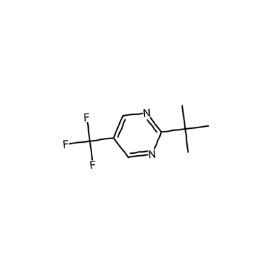 CC(C)(C)c1ncc(C(F)(F)F)cn1